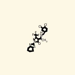 CC(NCc1ccc(Cl)c(Cl)c1)=C1C(=O)N(c2nc3ccccc3s2)N=C1C(F)(F)F